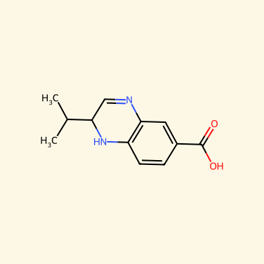 CC(C)C1C=Nc2cc(C(=O)O)ccc2N1